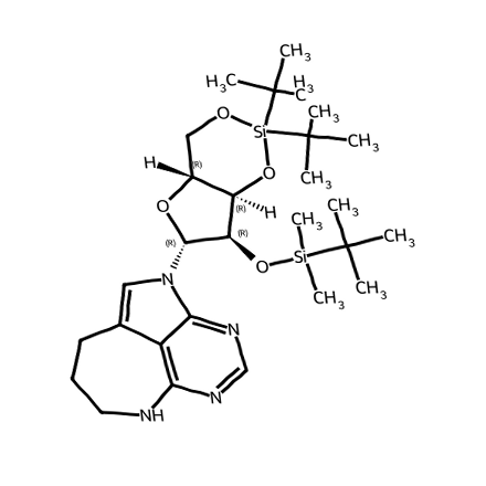 CC(C)(C)[Si](C)(C)O[C@@H]1[C@@H]2O[Si](C(C)(C)C)(C(C)(C)C)OC[C@H]2O[C@H]1n1cc2c3c(ncnc31)NCCC2